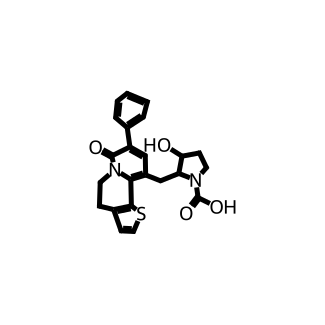 O=C(O)N1CCC(O)C1Cc1cc(-c2ccccc2)c(=O)n2c1-c1sccc1CC2